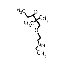 CCNCCOCC(C)(C)C(=O)CC